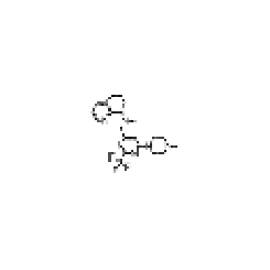 CN1CCN(c2cc(CN(C)[C@H]3CCCc4cccnc43)nc(C(F)(F)F)n2)CC1